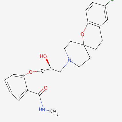 CNC(=O)c1ccccc1OC[C@@H](O)CN1CCC2(CCc3cc(Cl)ccc3O2)CC1